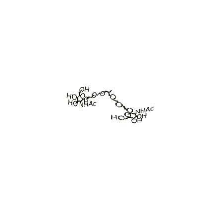 CC(=O)N[C@@H]1C(O)[C@@H](O)C(CO)O[C@H]1OCCOCCOCC(C)COCCOCCO[C@@H]1OC(CO)[C@H](O)C(O)[C@@H]1NC(C)=O